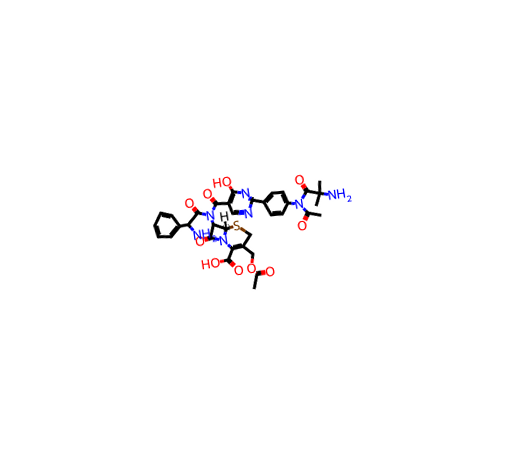 CC(=O)OCC1=C(C(=O)O)N2C(=O)C(N(C(=O)c3cnc(-c4ccc(N(C(C)=O)C(=O)C(C)(C)N)cc4)nc3O)C(=O)C(N)c3ccccc3)[C@@H]2SC1